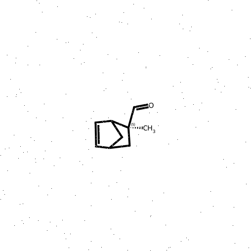 C[C@]1(C=O)CC2C=CC1C2